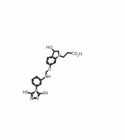 O=C(O)CCN1CC(O)c2ccc(OCNc3cccc(-n4c(S)nnc4S)c3)cc21